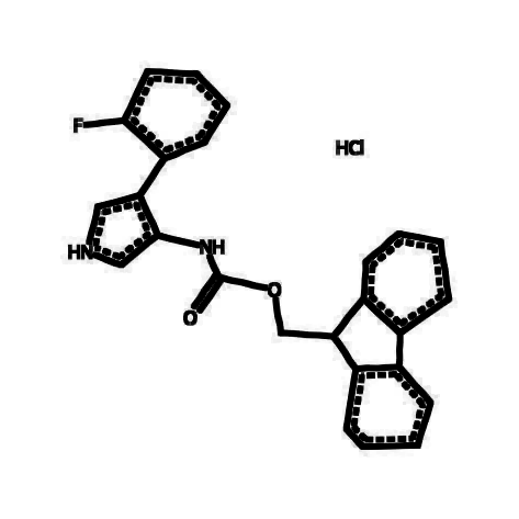 Cl.O=C(Nc1c[nH]cc1-c1ccccc1F)OCC1c2ccccc2-c2ccccc21